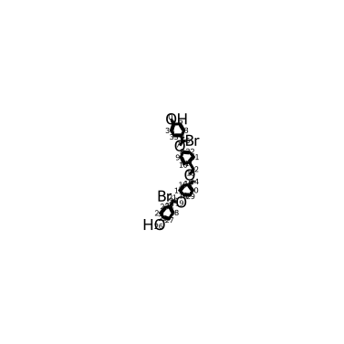 Oc1ccc(C(Br)Oc2ccc(COCc3ccc(OC(Br)c4ccc(O)cc4)cc3)cc2)cc1